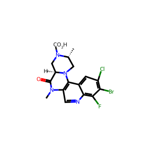 C[C@@H]1CN2c3c(cnc4c(F)c(Br)c(Cl)cc34)N(C)C(=O)[C@H]2CN1C(=O)O